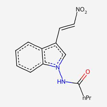 CCCC(=O)Nn1cc(C=C[N+](=O)[O-])c2ccccc21